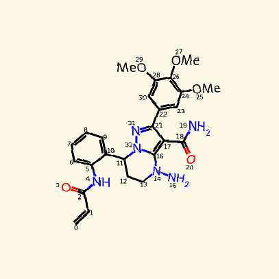 C=CC(=O)Nc1ccccc1C1CCN(N)c2c(C(N)=O)c(-c3cc(OC)c(OC)c(OC)c3)nn21